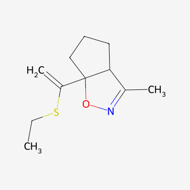 C=C(SCC)C12CCCC1C(C)=NO2